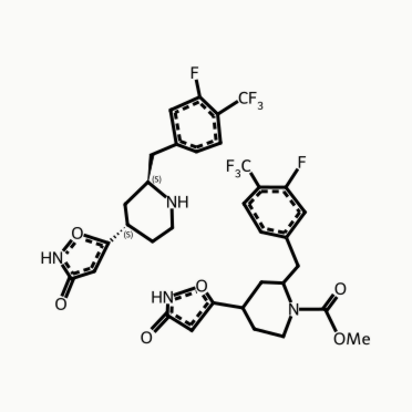 COC(=O)N1CCC(c2cc(=O)[nH]o2)CC1Cc1ccc(C(F)(F)F)c(F)c1.O=c1cc([C@H]2CCN[C@H](Cc3ccc(C(F)(F)F)c(F)c3)C2)o[nH]1